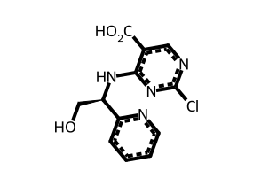 O=C(O)c1cnc(Cl)nc1N[C@H](CO)c1ccccn1